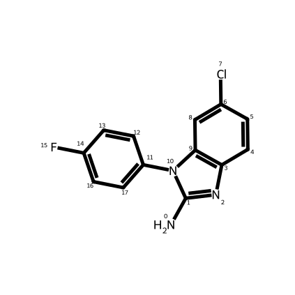 Nc1nc2ccc(Cl)cc2n1-c1ccc(F)cc1